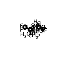 CC(C)(C)c1cc(-c2ccc(F)c(F)c2)cc(S(=O)(=O)Nc2ccc(S(=O)(=O)C(F)(F)F)cc2Cl)c1O